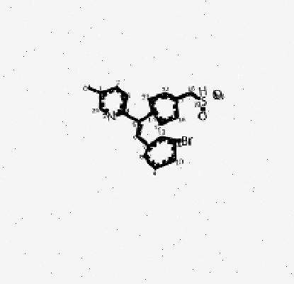 Cc1ccc(C(=Cc2cccc(Br)c2)c2ccc(C[SH](=O)=O)cc2)nc1